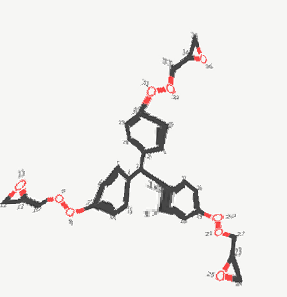 c1cc(C(c2ccc(OOCC3CO3)cc2)c2ccc(OOCC3CO3)cc2)ccc1OOCC1CO1